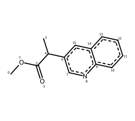 COC(=O)C(C)c1cnc2ccccc2c1